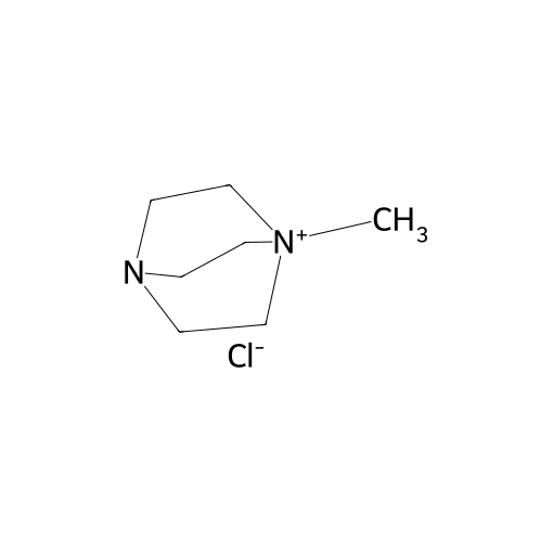 C[N+]12CCN(CC1)CC2.[Cl-]